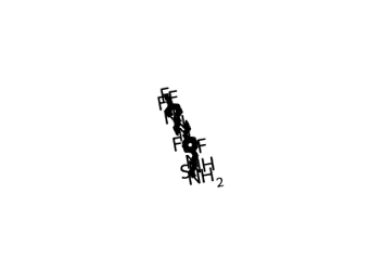 NC(=S)N/N=C/c1cc(F)c(N2CCN(c3ccc(C(F)(F)F)cn3)CC2)cc1F